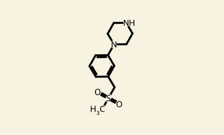 CS(=O)(=O)Cc1cccc(N2CCNCC2)c1